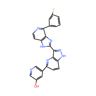 Oc1cncc(-c2ccc3[nH]nc(-c4nc5c(-c6cccc(F)c6)nccc5[nH]4)c3n2)c1